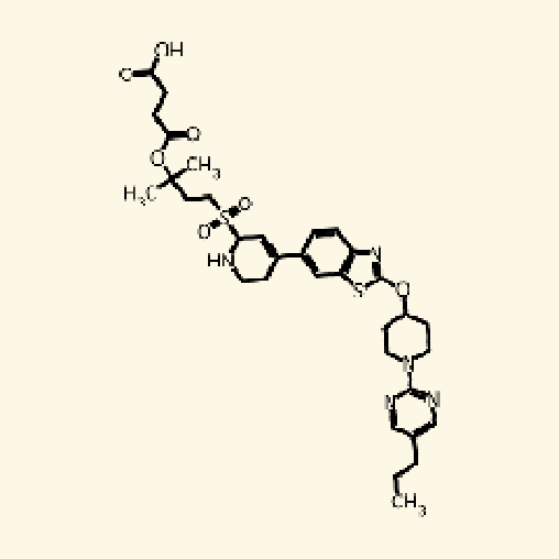 CCCc1cnc(N2CCC(Oc3nc4ccc(C5=CC(S(=O)(=O)CCC(C)(C)OC(=O)CCC(=O)O)NCC5)cc4s3)CC2)nc1